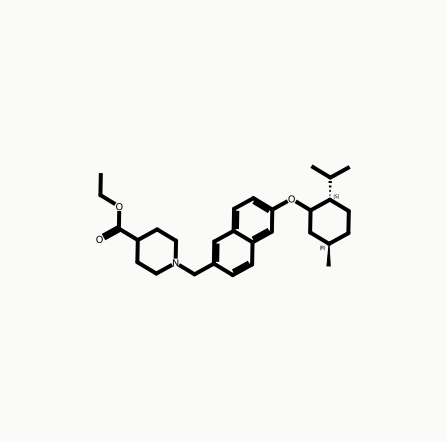 CCOC(=O)C1CCN(Cc2ccc3cc(OC4C[C@H](C)CC[C@H]4C(C)C)ccc3c2)CC1